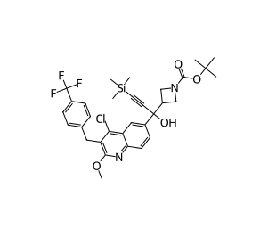 COc1nc2ccc(C(O)(C#C[Si](C)(C)C)C3CN(C(=O)OC(C)(C)C)C3)cc2c(Cl)c1Cc1ccc(C(F)(F)F)cc1